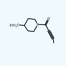 CC#CC(=O)N1CCC(C(=O)OCC)CC1